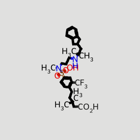 CN(C[C@H](O)CNC(C)(C)CC1Cc2ccccc2C1)S(=O)(=O)c1ccc(CCC(C)(C)CC(=O)O)c(C(F)(F)F)c1